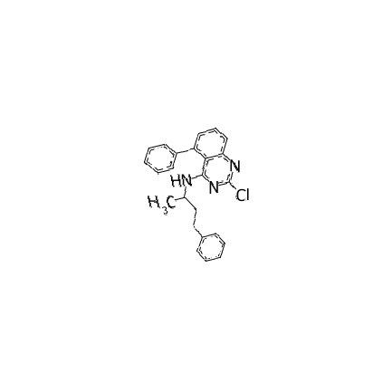 CC(CCc1ccccc1)Nc1nc(Cl)nc2cccc(-c3ccccc3)c12